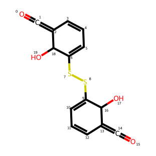 O=C=C1C=CC=C(SSC2=CC=CC(=C=O)C2O)C1O